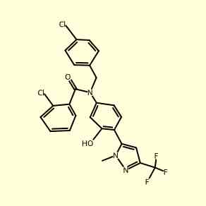 Cn1nc(C(F)(F)F)cc1-c1ccc(N(Cc2ccc(Cl)cc2)C(=O)c2ccccc2Cl)cc1O